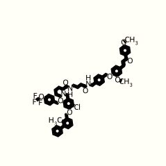 COc1ccc(C(=O)/C=C/c2ccc(OCc3ccc(CNC(=O)CCCNC(=O)C4CCCCN4Cc4cc(Cl)c(OCc5cccc(-c6ccccc6)c5C)cc4OCc4ccc(OC(F)(F)F)cc4)cc3)c(OC)c2)cc1